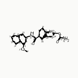 COc1cc(NC(=O)c2ccc3nc(OC(N)=O)sc3c2)cc2ccccc12